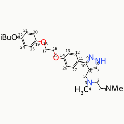 CNCCN(C)Cc1c[nH]nc1-c1ccc(OCCOc2ccc(OCC(C)C)cc2)cc1